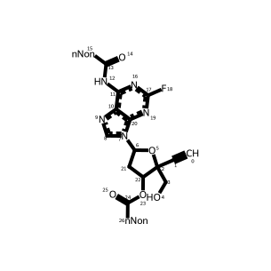 C#CC1(CO)OC(n2cnc3c(NC(=O)CCCCCCCCC)nc(F)nc32)CC1OC(=O)CCCCCCCCC